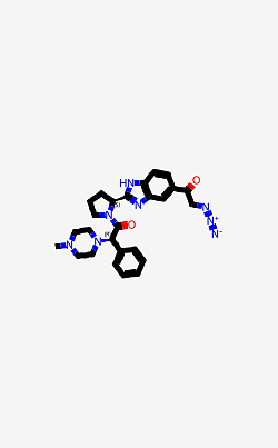 CN1CCN([C@@H](C(=O)N2CCC[C@H]2c2nc3cc(C(=O)CN=[N+]=[N-])ccc3[nH]2)c2ccccc2)CC1